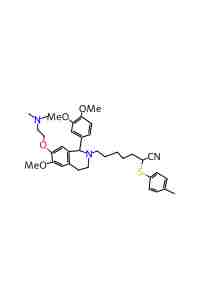 COc1ccc(C2c3cc(OCCN(C)C)c(OC)cc3CCN2CCCCCC(C#N)Sc2ccc(C)cc2)cc1OC